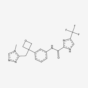 Cn1cnnc1CC1(c2cccc(NC(=O)c3nc(C(F)(F)F)c[nH]3)c2)COC1